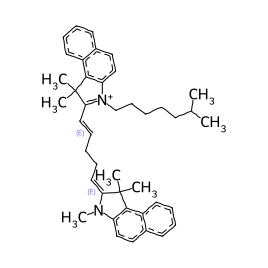 CC(C)CCCCC[N+]1=C(/C=C/CC/C=C2/N(C)c3ccc4ccccc4c3C2(C)C)C(C)(C)c2c1ccc1ccccc21